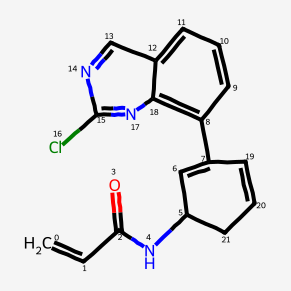 C=CC(=O)NC1C=C(c2cccc3cnc(Cl)nc23)C=CC1